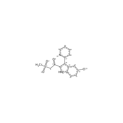 CS(=O)(=O)CC(=O)c1[nH]c2ccc(Cl)cc2c1-c1ccccn1